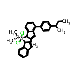 CCC(C)c1ccc(-c2cccc3c2C=C(C)[CH]3[Zr]([Cl])([Cl])([CH]2C=Cc3ccccc32)[SiH](C)C)cc1